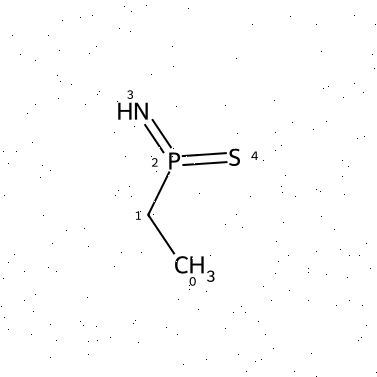 CCP(=N)=S